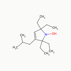 CCC1(CC)C=C(CC(C)C)C(CC)(CC)N1O